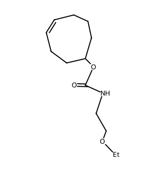 [CH2]COCCNC(=O)OC1CC/C=C\CCC1